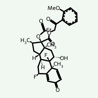 CCC(=O)O[C@]1(C(=O)OCC(=O)c2ccccc2OC)[C@H](C)C[C@H]2[C@@H]3C[C@H](F)C4=CC(=O)C=C[C@]4(C)[C@@]3(F)[C@@H](O)C[C@@]21C